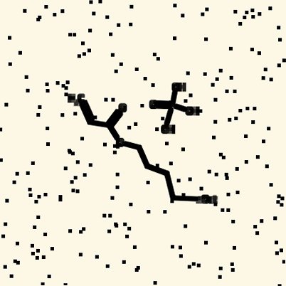 C=CC(=O)OCCCCCCCCCCCC.O=P(O)(O)O